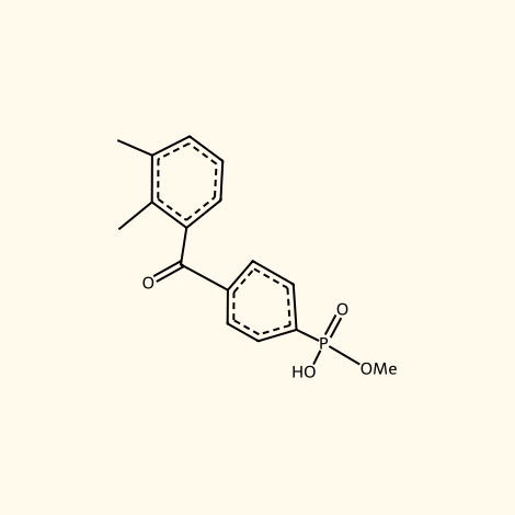 COP(=O)(O)c1ccc(C(=O)c2cccc(C)c2C)cc1